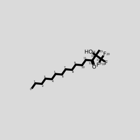 CCCCCCCCCCCCC(=O)C(C)(O)C(F)(F)F